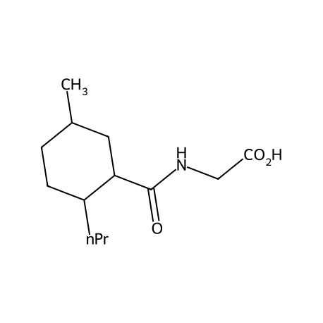 CCCC1CCC(C)CC1C(=O)NCC(=O)O